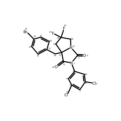 O=C1N(c2cc(Cl)cc(Cl)c2)C(=O)C2(Cc3ccc(Br)cc3)CC(F)(F)CN12